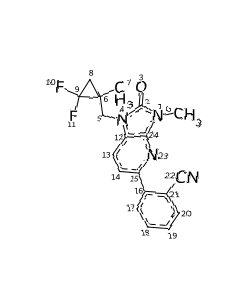 Cn1c(=O)n(CC2(C)CC2(F)F)c2ccc(-c3ccccc3C#N)nc21